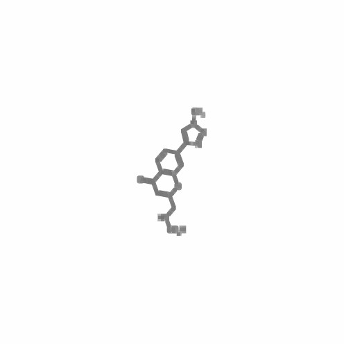 Cn1cc(-c2ccc3c(=O)cc(CNC(=O)O)oc3c2)nn1